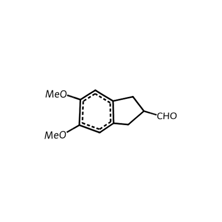 COc1cc2c(cc1OC)CC(C=O)C2